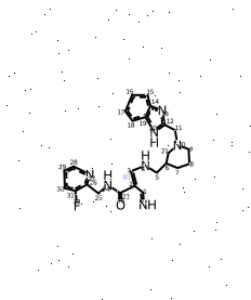 N=C/C(=C\NCC1CCCN(Cc2nc3ccccc3[nH]2)C1)C(=O)NCc1ncccc1F